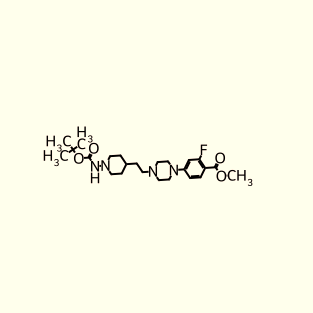 COC(=O)c1ccc(N2CCN(CCC3CCN(NC(=O)OC(C)(C)C)CC3)CC2)cc1F